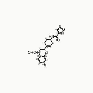 O=CN(CCC1=CC[C@H](NC(=O)c2ccon2)CC1)c1ccc(F)cc1Cl